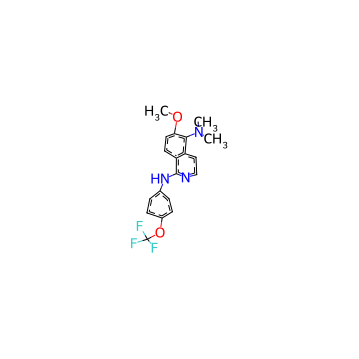 COc1ccc2c(Nc3ccc(OC(F)(F)F)cc3)nccc2c1N(C)C